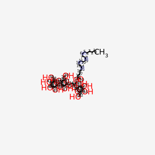 CCCCC/C=C\C/C=C\C/C=C\C/C=C\CCCC(=O)OCC(CO[C@@H]1O[C@H](CO)[C@@H](O)[C@H](O[C@@H]2O[C@H](CO)[C@@H](O)[C@H](O)[C@H]2O)[C@H]1O)O[C@@H]1O[C@H](CO)[C@@H](O)[C@H](O)[C@H]1O